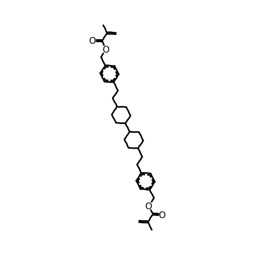 C=C(C)C(=O)OCc1ccc(CCC2CCC(C3CCC(CCc4ccc(COC(=O)C(=C)C)cc4)CC3)CC2)cc1